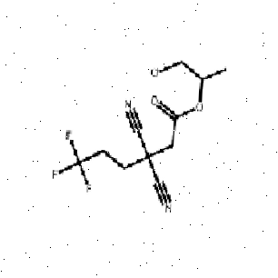 CC(CCl)OC(=O)CC(C#N)(C#N)CCC(F)(F)F